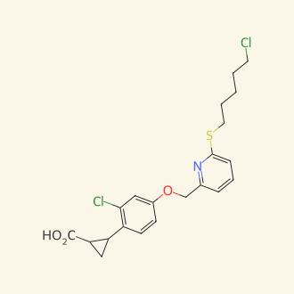 O=C(O)C1CC1c1ccc(OCc2cccc(SCCCCCCl)n2)cc1Cl